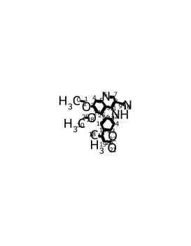 CCOc1cc2ncc(C#N)c(Nc3ccc4c(C)cc(=O)oc4c3)c2cc1OCC